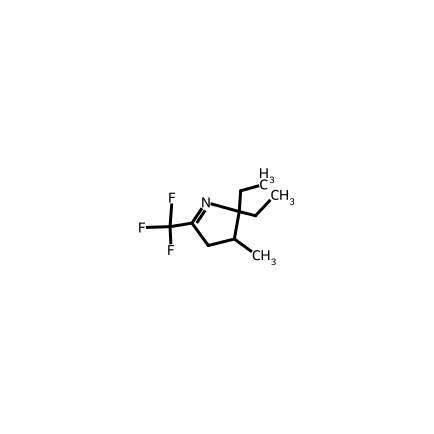 CCC1(CC)N=C(C(F)(F)F)CC1C